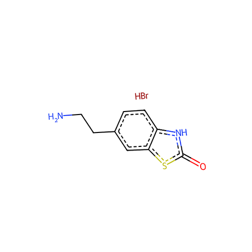 Br.NCCc1ccc2[nH]c(=O)sc2c1